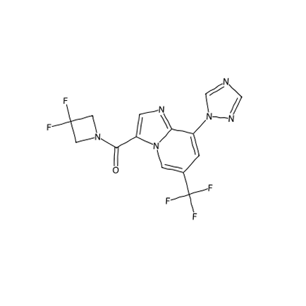 O=C(c1cnc2c(-n3cncn3)cc(C(F)(F)F)cn12)N1CC(F)(F)C1